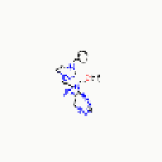 CCOCCn1c(CN2CCN(Cc3ccccc3)CC2)nc2cncnc21